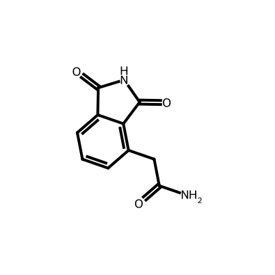 NC(=O)Cc1cccc2c1C(=O)NC2=O